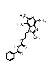 Cc1nc(N)c2nc(C)n(CCNC(=S)NC(=O)c3ccccc3)c2c1C